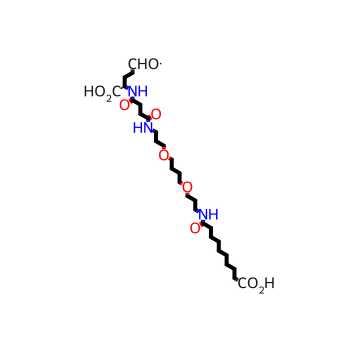 O=[C]CC[C@H](NC(=O)CCC(=O)NCCCOCCCCOCCCNC(=O)CCCCCCCCC(=O)O)C(=O)O